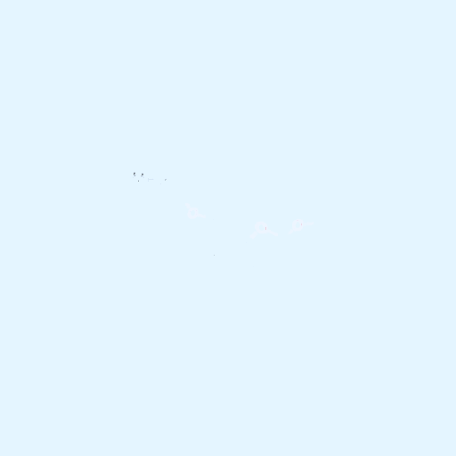 COCCOC(C)C1C(OC2CCCCO2)CC2C=CCC21